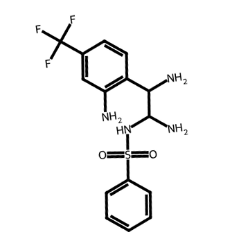 Nc1cc(C(F)(F)F)ccc1C(N)C(N)NS(=O)(=O)c1ccccc1